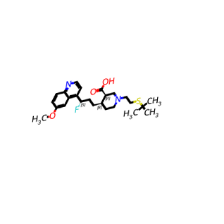 COc1ccc2nccc([C@@H](F)CC[C@@H]3CCN(CCSC(C)(C)C)C[C@@H]3C(=O)O)c2c1